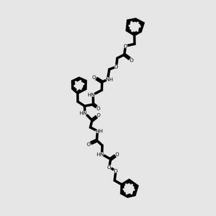 O=C(CNC(=O)OOCc1ccccc1)NCC(=O)NC(Cc1ccccc1)C(=O)NCC(=O)NCOCC(=O)OCc1ccccc1